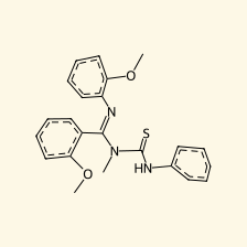 COc1ccccc1/N=C(\c1ccccc1OC)N(C)C(=S)Nc1ccccc1